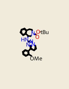 COCc1ccccc1-c1cccn2nc(NC3CN(C(=O)OC(C)(C)C)CCc4ccccc43)nc12